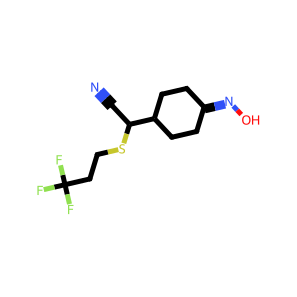 N#CC(SCCC(F)(F)F)C1CCC(=NO)CC1